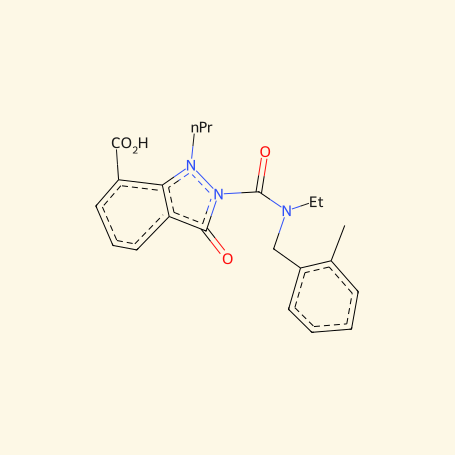 CCCn1c2c(C(=O)O)cccc2c(=O)n1C(=O)N(CC)Cc1ccccc1C